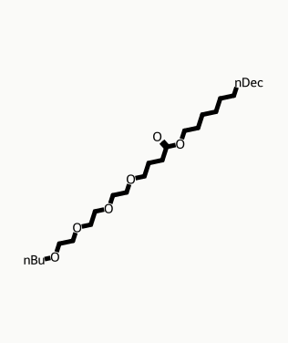 CCCCCCCCCCCCCCCCOC(=O)CCCOCCOCCOCCOCCCC